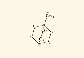 CC12CC[C](CC1)CO2